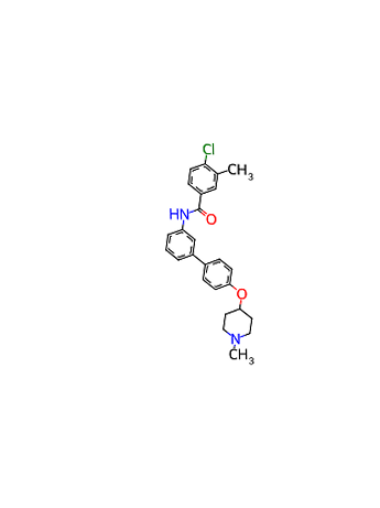 Cc1cc(C(=O)Nc2cccc(-c3ccc(OC4CCN(C)CC4)cc3)c2)ccc1Cl